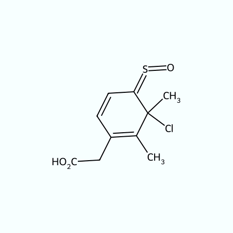 CC1=C(CC(=O)O)C=CC(=S=O)C1(C)Cl